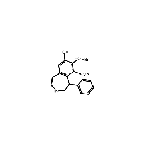 Br.CSc1c(O)c(O)cc2c1C(c1ccccc1)CNCC2